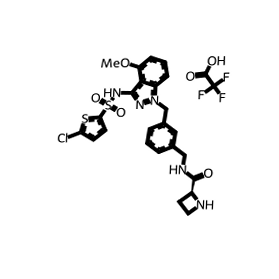 COc1cccc2c1c(NS(=O)(=O)c1ccc(Cl)s1)nn2Cc1cccc(CNC(=O)[C@@H]2CCN2)c1.O=C(O)C(F)(F)F